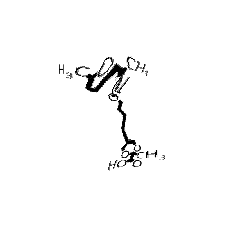 CC(=NOCCCCC1COC(C)(C(=O)O)OC1)c1ccc(C)o1